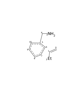 C=CCC.NCc1ccccc1